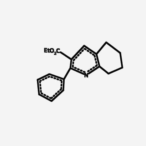 CCOC(=O)c1cc2c(nc1-c1ccccc1)CCCC2